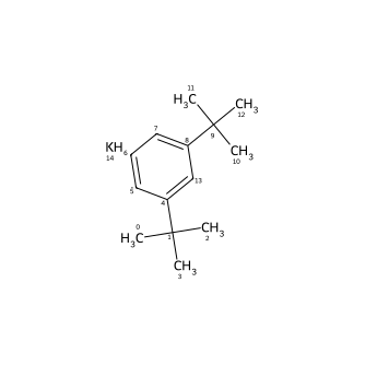 CC(C)(C)c1[c]ccc(C(C)(C)C)c1.[KH]